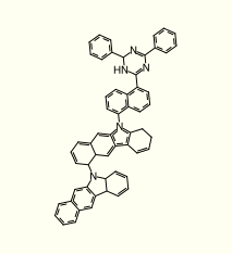 C1=CC2c3cc4ccccc4cc3N(C3C=CC=C4C=c5c(c6c(n5-c5cccc7c(C8=NC(c9ccccc9)=NC(c9ccccc9)N8)cccc57)CCC=C6)=CC43)C2C=C1